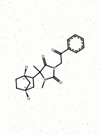 CN1C(=O)N(CC(=O)c2ccccc2)C(=O)C1(C)C1C[C@@H]2CC[C@H]1C2